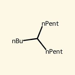 CCCCCC(CCCC)CCCCC